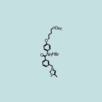 Br.CCCCCCCCCCCCCCOc1ccc(NC(=O)c2cccc(CN3C=C(C)SC3)c2)cc1